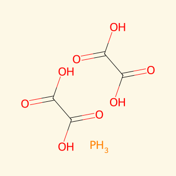 O=C(O)C(=O)O.O=C(O)C(=O)O.P